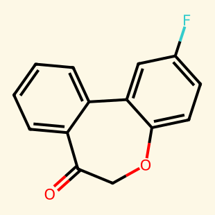 O=C1COc2ccc(F)cc2-c2ccccc21